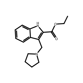 CCOC(=O)c1[nH]c2ccccc2c1CN1CCCC1